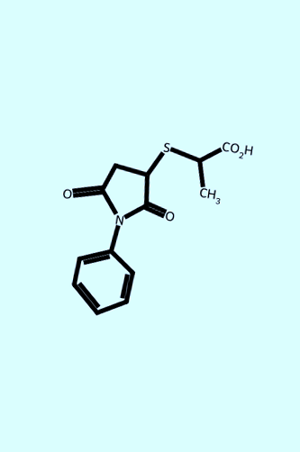 CC(SC1CC(=O)N(c2ccccc2)C1=O)C(=O)O